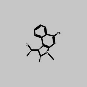 C[C@@H](Cl)[C@H]1c2c(cc(O)c3ccccc23)N(C)[C@H]1C